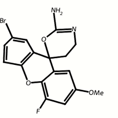 COc1cc(F)c2c(c1)C1(CCN=C(N)O1)c1cc(Br)ccc1O2